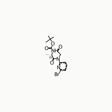 C[C@H](NC(=O)OC(C)(C)C)C(=O)N(CC=O)c1cccc(Br)n1